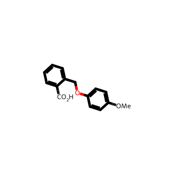 COc1ccc(OCc2ccccc2C(=O)O)cc1